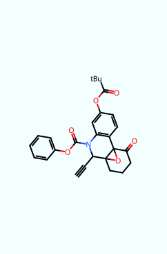 C#CC1N(C(=O)Oc2ccccc2)c2cc(OC(=O)C(C)(C)C)ccc2C23OC12CCCC3=O